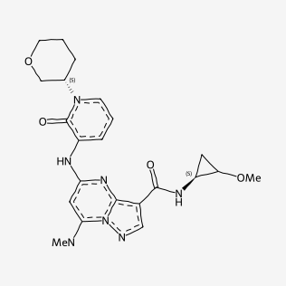 CNc1cc(Nc2cccn([C@H]3CCCOC3)c2=O)nc2c(C(=O)N[C@H]3CC3OC)cnn12